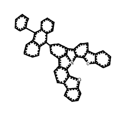 c1ccc(-c2c3ccccc3c(-c3cc4c5ccc6c7ccccc7oc6c5n5c4c(c3)c3ccc4c6ccccc6oc4c35)c3ccccc23)cc1